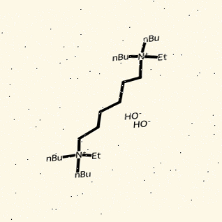 CCCC[N+](CC)(CCCC)CCCCCC[N+](CC)(CCCC)CCCC.[OH-].[OH-]